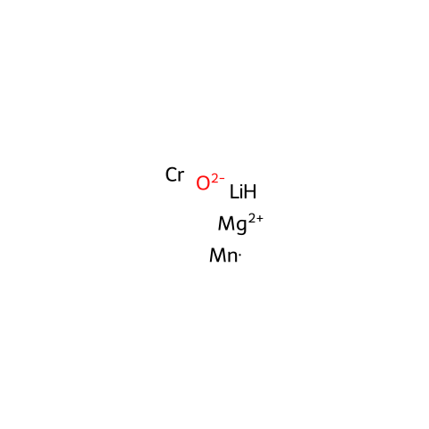 [Cr].[LiH].[Mg+2].[Mn].[O-2]